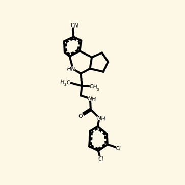 CC(C)(CNC(=O)Nc1ccc(Cl)c(Cl)c1)C1Nc2ccc(C#N)cc2C2CCCC21